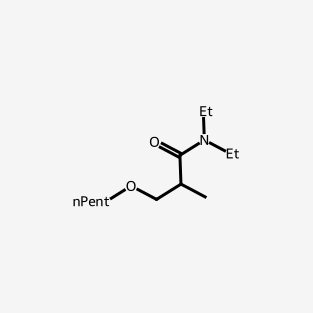 CCCCCOCC(C)C(=O)N(CC)CC